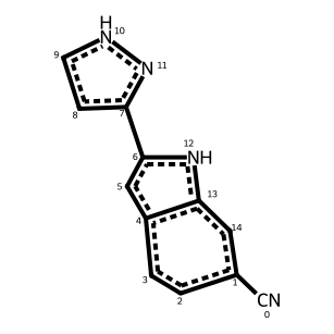 N#Cc1ccc2cc(-c3cc[nH]n3)[nH]c2c1